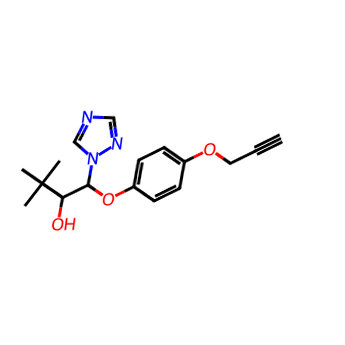 C#CCOc1ccc(OC(C(O)C(C)(C)C)n2cncn2)cc1